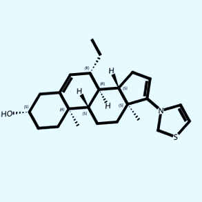 CC[C@H]1C=C2C[C@@H](O)CC[C@]2(C)[C@H]2CC[C@]3(C)C(N4C=CSC4)=CC[C@H]3[C@H]12